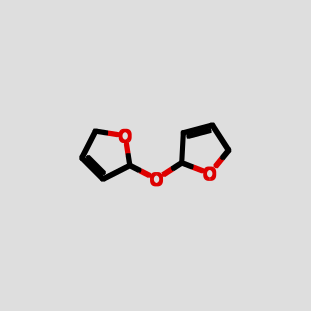 C1=CC(OC2C=CCO2)OC1